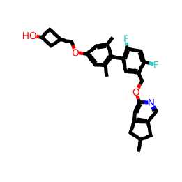 Cc1cc(OCC2CC(O)C2)cc(C)c1-c1cc(COc2cc3c(cn2)CC(C)C3)c(F)cc1F